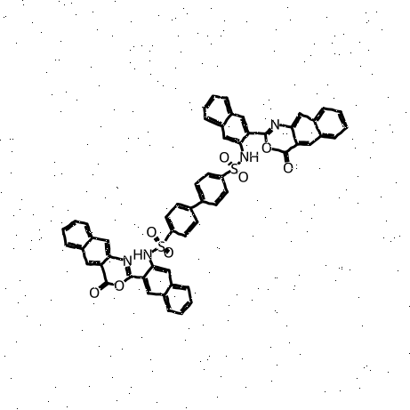 O=c1oc(-c2cc3ccccc3cc2NS(=O)(=O)c2ccc(-c3ccc(S(=O)(=O)Nc4cc5ccccc5cc4-c4nc5cc6ccccc6cc5c(=O)o4)cc3)cc2)nc2cc3ccccc3cc12